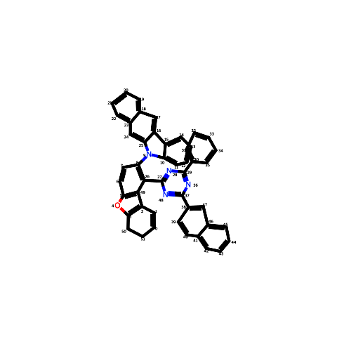 C1=Cc2c(oc3ccc(-n4c5ccccc5c5cc6ccccc6cc54)c(-c4nc(-c5ccccc5)nc(-c5ccc6ccccc6c5)n4)c23)CC1